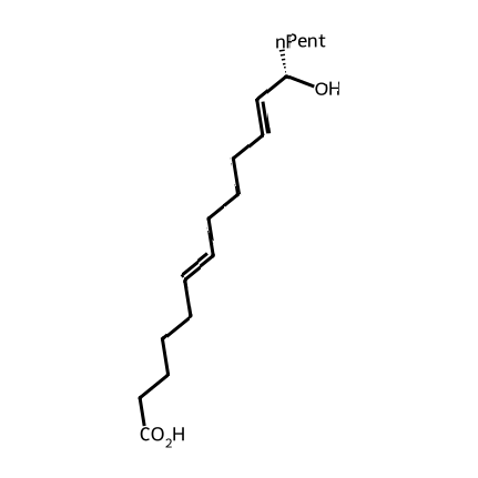 CCCCC[C@H](O)C=CCCCC=CCCCCC(=O)O